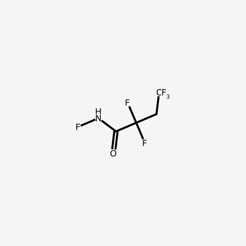 O=C(NF)C(F)(F)CC(F)(F)F